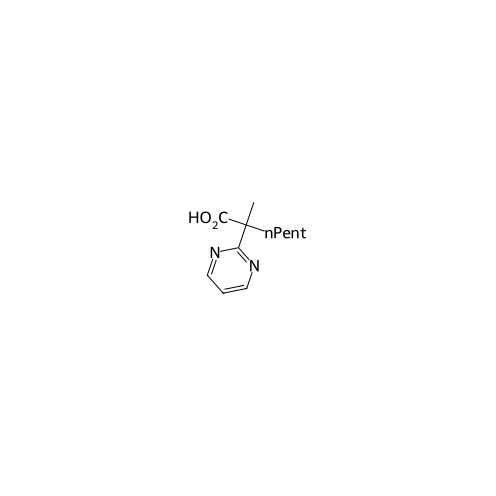 CCCCCC(C)(C(=O)O)c1ncccn1